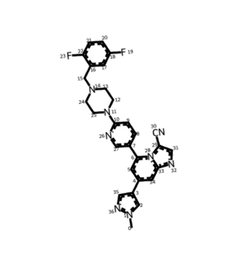 Cn1cc(-c2cc(-c3ccc(N4CCN(Cc5cc(F)ccc5F)CC4)nc3)n3c(C#N)cnc3c2)cn1